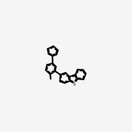 Cc1ccc(-c2ccccc2)cc1-c1ccc2sc3ccccc3c2c1